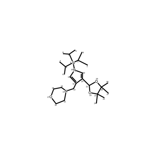 CC(C)[Si](C(C)C)(C(C)C)n1cc(CN2CCOCC2)c(C2OC(C)(C)C(C)(C)O2)c1